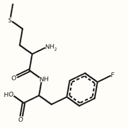 CSCCC(N)C(=O)NC(Cc1ccc(F)cc1)C(=O)O